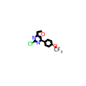 FC(F)(F)Oc1ccc(-c2nc(Cl)nc3ccoc23)cc1